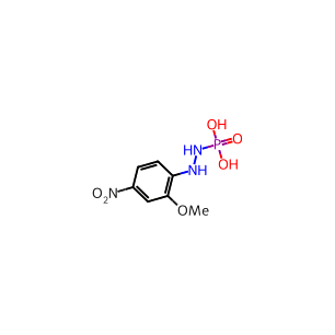 COc1cc([N+](=O)[O-])ccc1NNP(=O)(O)O